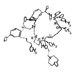 CCCCc1cc(Cl)ccc1[C@@H]1COc2ccc3cc2N(C1)C[C@@H]1CC[C@H]1[C@@](C)(OCCN1CCOCC1)/C=C/C[C@H](C)[C@@H](C)S(=O)(=O)NC3=O